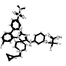 CN(C)S(=O)(=O)c1ccc(-c2ccc(F)cc2N2C(=O)N=C(NC3CCCCC3)C23CCN(CC2CC2)CC3)cc1.O=C(O)C(F)(F)F